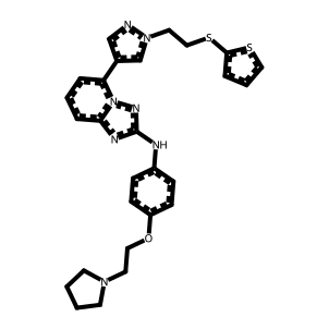 c1csc(SCCn2cc(-c3cccc4nc(Nc5ccc(OCCN6CCCC6)cc5)nn34)cn2)c1